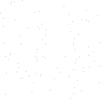 CCNc1cc(C(=O)O)cc(N2CCCCS2(O)O)c1OC